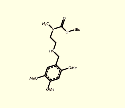 COc1cc(OC)c(OC)cc1CNCCN(C)C(=O)OC(C)(C)C